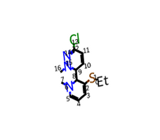 CCSC1=CC=CN(C)C1C1C=CC(Cl)=NN1C